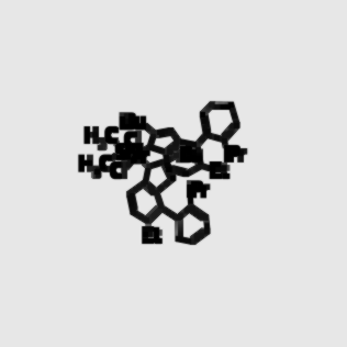 CCc1ccc2c(c1-c1ccccc1C(C)C)C=C(C(C)CC)[CH]2[Zr]([Cl])([Cl])([CH]1C(C(C)CC)=Cc2c1ccc(CC)c2-c1ccccc1C(C)C)[SiH](C)C